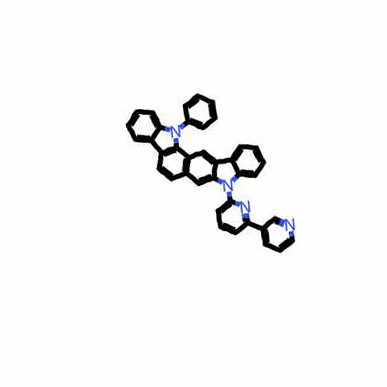 c1ccc(-n2c3ccccc3c3ccc4cc5c(cc4c32)c2ccccc2n5-c2cccc(-c3cccnc3)n2)cc1